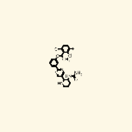 CC(Oc1cccc(-c2ncc(C3NCCCC3NC(N)=O)cn2)c1)c1c(Cl)ccc(F)c1Cl